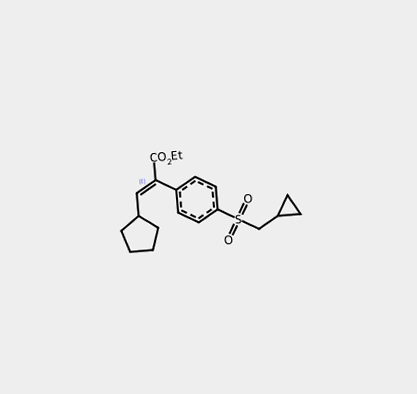 CCOC(=O)/C(=C/C1CCCC1)c1ccc(S(=O)(=O)CC2CC2)cc1